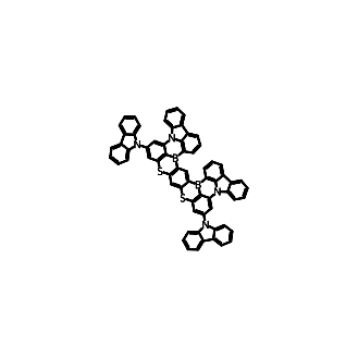 c1ccc2c(c1)c1ccccc1n2-c1cc2c3c(c1)-n1c4ccccc4c4cccc(c41)B3c1cc3c(cc1S2)Sc1cc(-n2c4ccccc4c4ccccc42)cc2c1B3c1cccc3c4ccccc4n-2c13